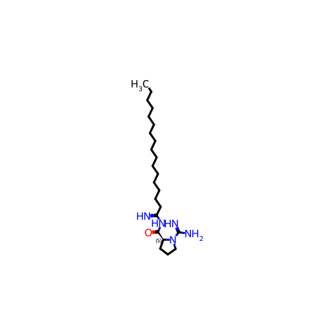 CCCCCCCCCCCCCCCCC(=N)NC(=O)[C@@H]1CCCN1C(=N)N